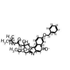 CCOCc1nc2c[n+]([O-])c3cc(OCc4ccccc4)ccc3c2n1CC(C)(C)NC(=O)NC(C)C